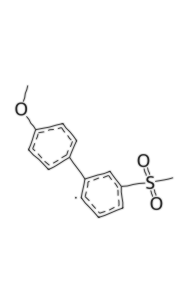 COc1ccc(-c2[c]ccc(S(C)(=O)=O)c2)cc1